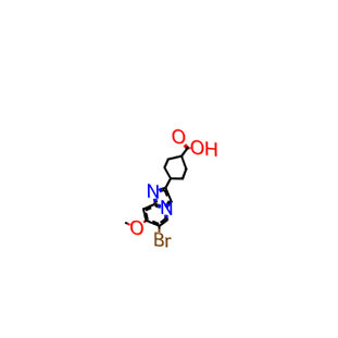 COc1cc2nc(C3CCC(C(=O)O)CC3)cn2cc1Br